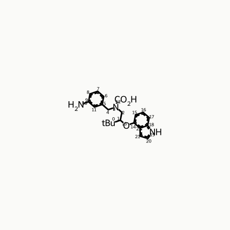 CC(C)(C)C(CN(Cc1cccc(N)c1)C(=O)O)Oc1cccc2[nH]ccc12